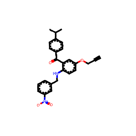 C#CCOc1ccc(NCc2cccc([N+](=O)[O-])c2)c(C(=O)c2ccc(C(C)C)cc2)c1